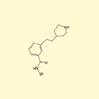 CC(C)NC(=O)c1cccc(CCC2CCNCC2)c1